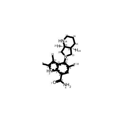 Cc1[nH]c2c(C(N)=O)cc(F)c(N3C[C@@H]4CCCN[C@@H]4C3)c2c1C